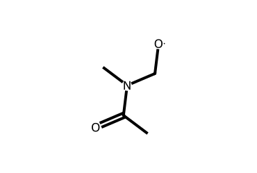 CC(=O)N(C)C[O]